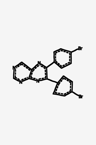 Brc1ccc(-c2nc3cncnc3nc2-c2ccc(Br)cc2)cc1